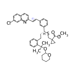 COC(=O)C1(CS[C@H](CCc2ccccc2C(C)(C)OC2CCCCO2)c2cccc(/C=C/c3ccc4ccc(Cl)cc4n3)c2)CC1